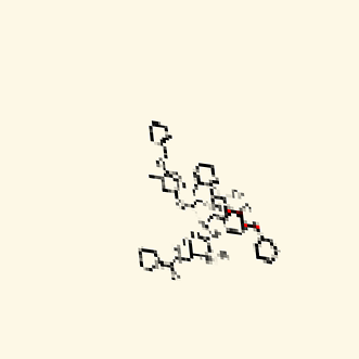 CC(C)[C@H](NC(=O)CNC(=O)N1CCOCC1)C(=O)NN(Cc1ccc(F)cc1)C[C@H](OC(=O)CN(C)C(=O)OCc1ccccc1)[C@H](Cc1ccccc1)NC(=O)[C@@H](NC(=O)OCc1ccccc1)C(C)C